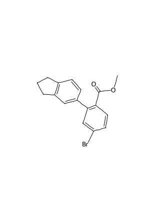 COC(=O)c1ccc(Br)cc1-c1ccc2c(c1)CCC2